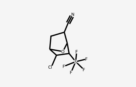 N#CC1CC2OC1C(S(F)(F)(F)(F)F)C2Cl